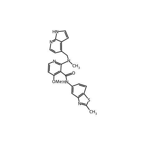 COc1ccnc(N(C)Cc2ccnc3[nH]ccc23)c1C(=O)Nc1ccc2sc(C)nc2c1